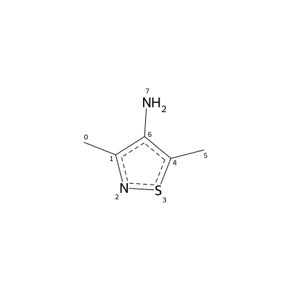 Cc1nsc(C)c1N